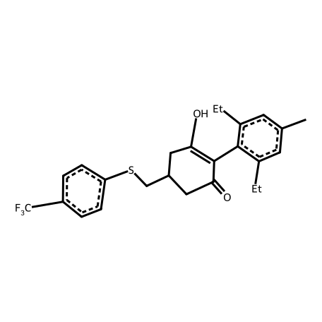 CCc1cc(C)cc(CC)c1C1=C(O)CC(CSc2ccc(C(F)(F)F)cc2)CC1=O